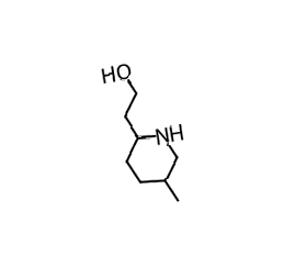 CC1CCC(CCO)NC1